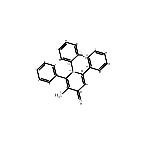 Cc1c(-c2ccccc2)n(-c2ccccc2Cl)c(-c2ccccc2)cc1=O